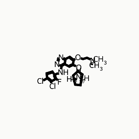 CN(C)CCOc1cc2ncnc(Nc3ccc(Cl)c(Cl)c3F)c2cc1O[C@@H]1C[C@H]2CC[C@@H](C1)N2